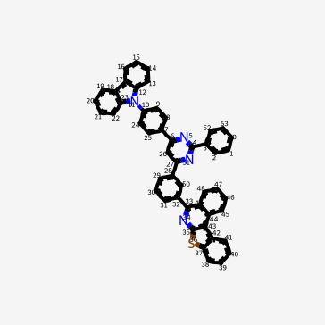 c1ccc(-c2nc(-c3ccc(-n4c5ccccc5c5ccccc54)cc3)cc(-c3cccc(-c4nc5sc6ccccc6c5c5ccccc45)c3)n2)cc1